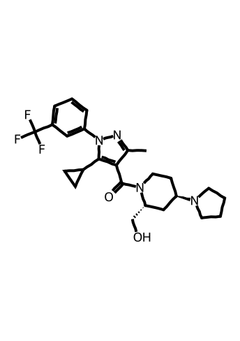 Cc1nn(-c2cccc(C(F)(F)F)c2)c(C2CC2)c1C(=O)N1CC[C@@H](N2CCCC2)C[C@@H]1CO